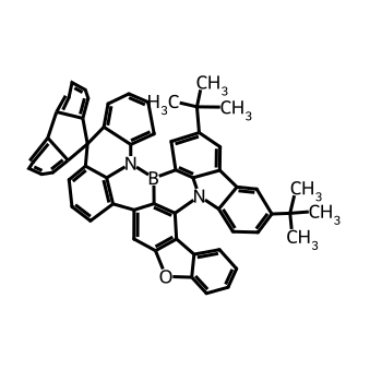 CC(C)(C)c1ccc2c(c1)c1cc(C(C)(C)C)cc3c1n2-c1c2c(cc4oc5ccccc5c14)-c1cccc4c1N(B23)c1ccccc1C41c2ccccc2-c2ccccc21